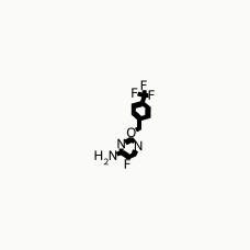 Nc1nc(OCc2ccc(C(F)(F)F)cc2)ncc1F